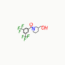 O=C(c1cc(C(F)(F)F)cc(C(F)(F)F)c1)N1CCCC(CO)C1